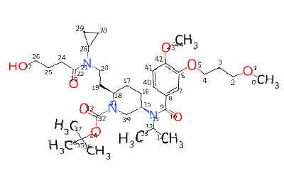 COCCCOc1cc(C(=O)N(C(C)C)[C@@H]2CC[C@H](CCN(C(=O)CCCO)C3CC3)N(C(=O)OC(C)(C)C)C2)ccc1OC